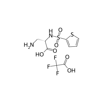 NC[C@H](NS(=O)(=O)c1cccs1)C(=O)O.O=C(O)C(F)(F)F